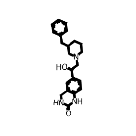 O=C1NCc2cc(C(O)CN3CCCC(Cc4ccccc4)C3)ccc2N1